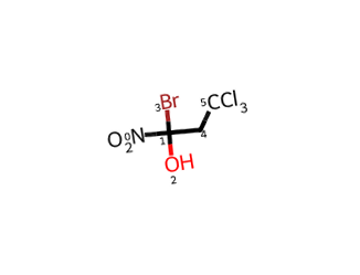 O=[N+]([O-])C(O)(Br)CC(Cl)(Cl)Cl